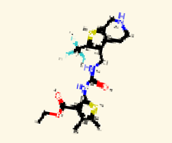 CCOC(=O)c1c(NC(=O)NCc2c(C(F)(F)F)sc3c2CCNC3)sc(C)c1C